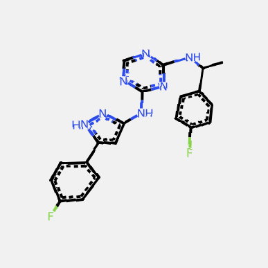 CC(Nc1ncnc(Nc2cc(-c3ccc(F)cc3)[nH]n2)n1)c1ccc(F)cc1